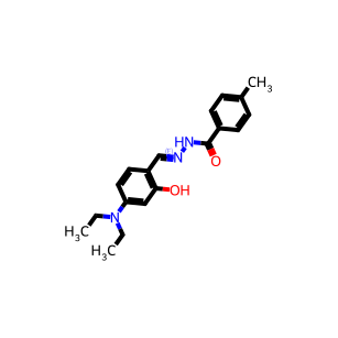 CCN(CC)c1ccc(/C=N/NC(=O)c2ccc(C)cc2)c(O)c1